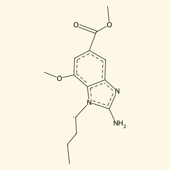 CCC[CH]n1c(N)nc2cc(C(=O)OC)cc(OC)c21